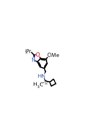 COc1cc(CN[C@@H](C)C2CCC2)cc2nc(C(C)C)oc12